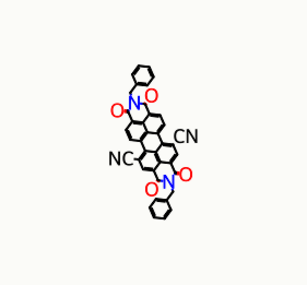 N#Cc1cc2c3c(cc(C#N)c4c5ccc6c7c(ccc(c1c34)c75)C(=O)N(Cc1ccccc1)C6=O)C(=O)N(Cc1ccccc1)C2=O